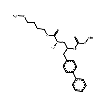 CCCCOC(=O)NC(Cc1ccc(-c2ccccc2)cc1)C[C@@H](O)C(=O)OCCCCO[N+](=O)[O-]